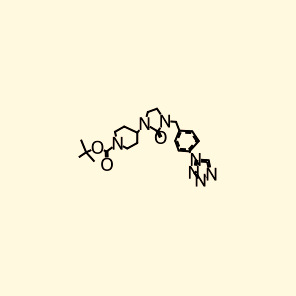 CC(C)(C)OC(=O)N1CCC(N2CCN(Cc3ccc(-n4cnnn4)cc3)C2=O)CC1